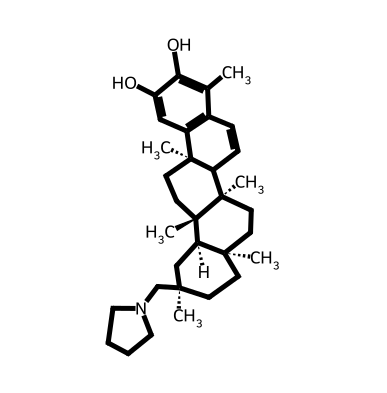 Cc1c(O)c(O)cc2c1C=CC1[C@@]2(C)CC[C@@]2(C)[C@@H]3C[C@](C)(CN4CCCC4)CC[C@]3(C)CC[C@]12C